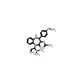 C=CC(N(C)C)N1C(=O)C(OC(C)=O)C(c2ccc(OC)cc2)Nc2ccccc21